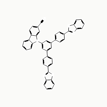 N#Cc1ccc2c3ccccc3n(-c3cc(-c4ccc(-c5nc6ccccc6s5)cc4)cc(-c4ccc(-c5nc6ccccc6s5)cc4)c3)c2c1